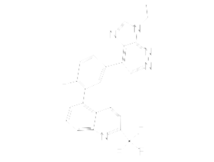 CCn1cnc2c(-c3ccc(F)c(-c4cccc5nc(C(F)(F)F)ccc45)c3)cnnc21